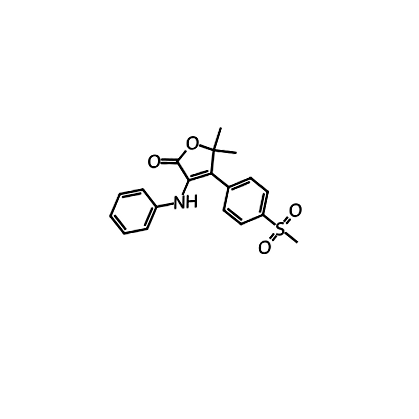 CC1(C)OC(=O)C(Nc2ccccc2)=C1c1ccc(S(C)(=O)=O)cc1